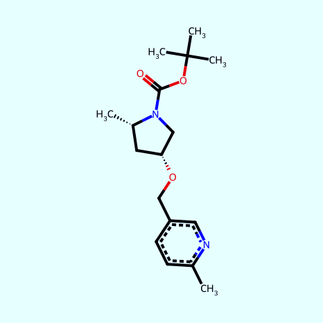 Cc1ccc(CO[C@@H]2C[C@H](C)N(C(=O)OC(C)(C)C)C2)cn1